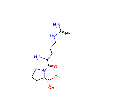 N=C(N)NCCCC(N)C(=O)N1CCC[C@H]1B(O)O